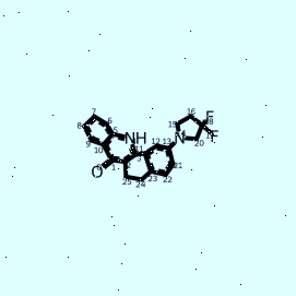 O=c1c2c([nH]c3ccccc13)-c1cc(N3CCC(F)(F)C3)ccc1CC2